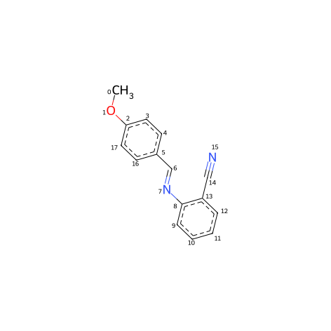 COc1ccc(C=Nc2ccccc2C#N)cc1